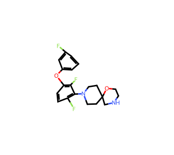 Fc1cccc(Oc2ccc(F)c(N3CCC4(CC3)CNCCO4)c2F)c1